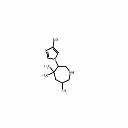 CC1CNCC(n2cnc(N=O)c2)C(C)(C)C1